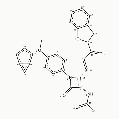 COc1ccc(N2C(=O)[C@@H](NC(C)=O)[C@H]2C=CC(=O)C2Cc3ccccc3O2)cc1.c1cc2cc-2c1